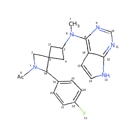 CC(=O)N1CC2(CC(N(C)c3ncnc4[nH]ccc34)C2)C1c1ccc(F)cc1